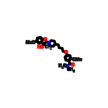 COc1cccc([C@@](O)(C(=O)N2CCC(CCCCOc3ccc(C(=O)N(C)C)c(OC)c3)CC2)C(F)(F)F)c1